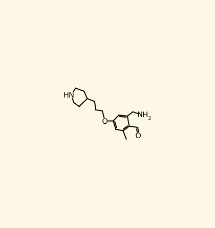 Cc1cc(OCCCC2CCNCC2)cc(CN)c1C=O